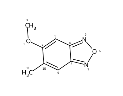 COc1cc2nonc2cc1C